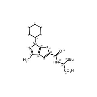 Cc1nn(C2CCCCC2)c2sc(C(=O)NC(C(=O)O)C(C)(C)C)cc12